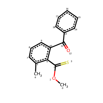 COC(=S)c1c(C)cccc1C(=O)c1ccccc1